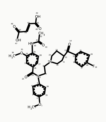 COc1ccc(N(CCN2CCC(C(=O)c3ccc(F)cc3)CC2)C(=O)c2ccc(NC(C)=O)c(OC)c2)cc1.O=C(O)C=CC(=O)O